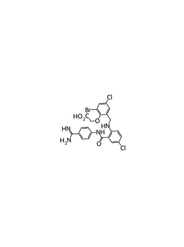 N=C(N)c1ccc(NC(=O)c2cc(Cl)ccc2NCc2cc(Cl)cc(Br)c2OCC(=O)O)cc1